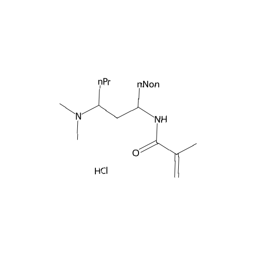 C=C(C)C(=O)NC(CCCCCCCCC)CC(CCC)N(C)C.Cl